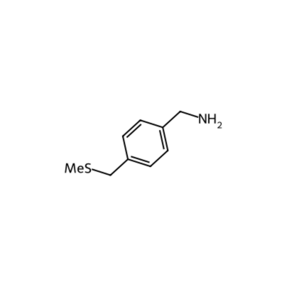 CSCc1ccc(CN)cc1